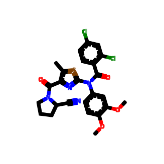 COc1ccc(N(C(=O)c2ccc(Cl)cc2Cl)c2nc(C(=O)N3CCCC3C#N)c(C)s2)cc1OC